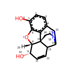 Oc1ccc2c3c1O[C@H]1[C@@H](O)C=CC4C(C2)NCC[C@@]341